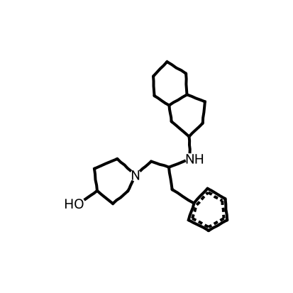 OC1CCN(CC(Cc2ccccc2)NC2CCC3CCCCC3C2)CC1